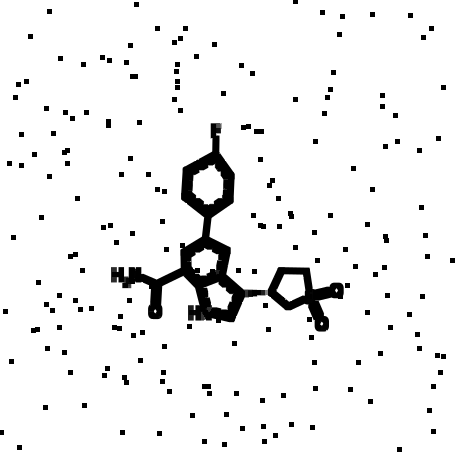 NC(=O)c1cc(-c2ccc(F)cc2)cc2c([C@@H]3CCS(=O)(=O)C3)c[nH]c12